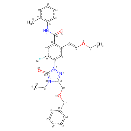 CCOC=Cc1cc(-n2nc(COCc3ccccc3)n(CC)c2=O)c(F)cc1C(=O)Nc1ccccc1C